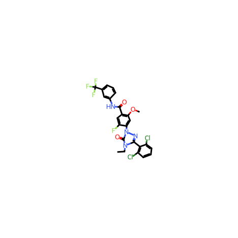 CCn1c(-c2c(Cl)cccc2Cl)nn(-c2cc(OC)c(C(=O)Nc3cccc(C(F)(F)F)c3)cc2F)c1=O